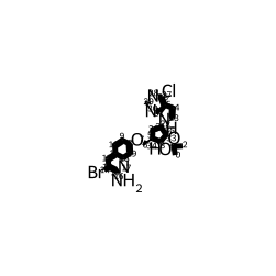 CC1(C)O[C@@H]2[C@@H](COc3ccc4cc(Br)c(N)nc4c3)C[C@@H](n3ccc4c(Cl)ncnc43)[C@@H]2O1